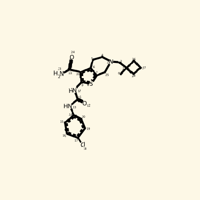 CC1(CN2CCc3c(sc(NC(=O)Nc4ccc(Cl)cc4)c3C(N)=O)C2)CCC1